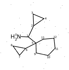 NC(C1CC1)C1(C2CC2)C[CH]CCC1